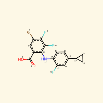 O=C(O)c1cc(Br)c(F)c(F)c1Nc1ccc(C2CC2)cc1F